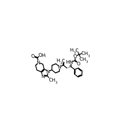 C=C(C[C@H](NC(=O)OC(C)(C)C)c1ccccc1)N1CCC(n2c(C)nc3c2CN(C(=O)O)CC3)CC1